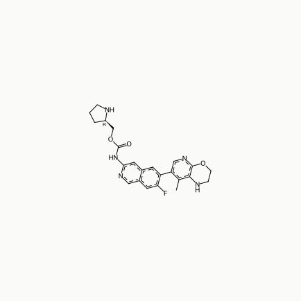 Cc1c(-c2cc3cc(NC(=O)OC[C@H]4CCCN4)ncc3cc2F)cnc2c1NCCO2